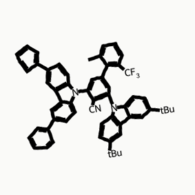 Cc1cccc(C(F)(F)F)c1-c1cc(-n2c3ccc(-c4ccccc4)cc3c3cc(-c4ccccc4)ccc32)c(C#N)c(-n2c3ccc(C(C)(C)C)cc3c3cc(C(C)(C)C)ccc32)c1